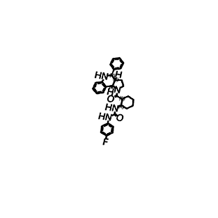 O=C(Nc1ccc(F)cc1)N[C@@H]1CCCC[C@@H]1C(=O)N1CC[C@H]2[C@H](c3ccccc3)Nc3ccccc3[C@@H]21